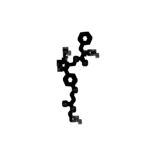 CCOC(=O)CCOc1ccc(-c2nnn(C)c2COC(=O)N(C)Cc2ccccc2)cc1